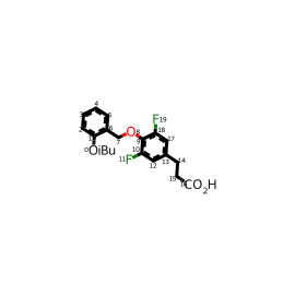 CC(C)COc1ccccc1COc1c(F)cc(CCC(=O)O)cc1F